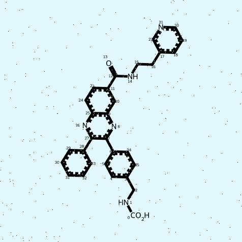 O=C(O)NCc1ccc(-c2nc3cc(C(=O)NCCc4cccnc4)ccc3nc2-c2ccccc2)cc1